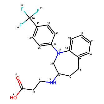 O=C(O)CCNC1CCc2ccccc2N(c2ccc(C(F)(F)F)cc2)C1